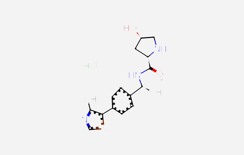 Cc1ncsc1-c1ccc([C@H](C)NC(=O)[C@H]2C[C@@H](O)CN2)cc1.Cl